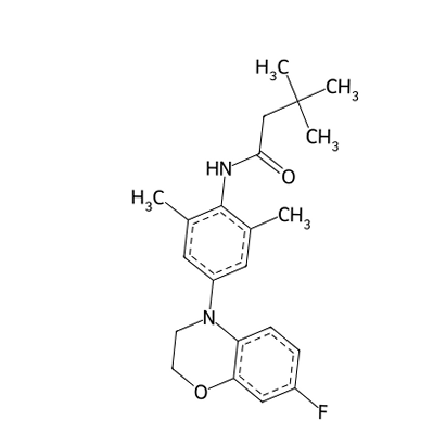 Cc1cc(N2CCOc3cc(F)ccc32)cc(C)c1NC(=O)CC(C)(C)C